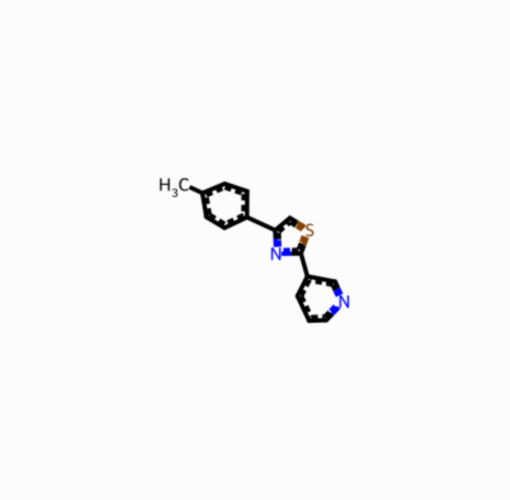 Cc1ccc(-c2csc(-c3cccnc3)n2)cc1